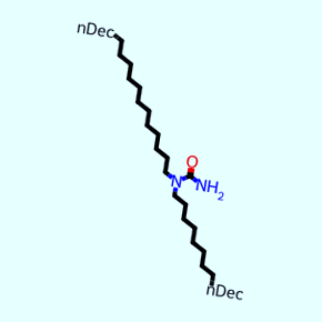 CCCCCCCCCCCCCCCCCCCCCCN(CCCCCCCCCCCCCCCCCC)C(N)=O